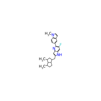 CC1CCC2C(Cc3cc4nc(-c5ccc6c(ccn6C)c5)c(F)cc4[nH]3)CC(C)C12